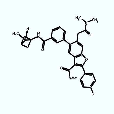 CNC(=O)c1c(-c2ccc(F)cc2)oc2cc(CC(=O)N(C)C)c(-c3cccc(C(=O)NC45CC(C4)[C@@H]5C)c3)cc12